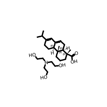 CC(C)C1=CC2=CC[C@@H]3[C@](C)(CCC[C@@]3(C)C(=O)O)[C@H]2CC1.OCCN(CCO)CCO